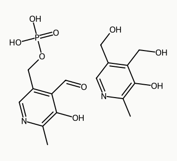 Cc1ncc(CO)c(CO)c1O.Cc1ncc(COP(=O)(O)O)c(C=O)c1O